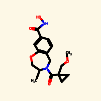 COCC1(C(=O)N2Cc3ccc(C(=O)NO)cc3OCC2C)CC1